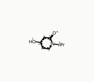 CCCn1ccc(O)cc1=O